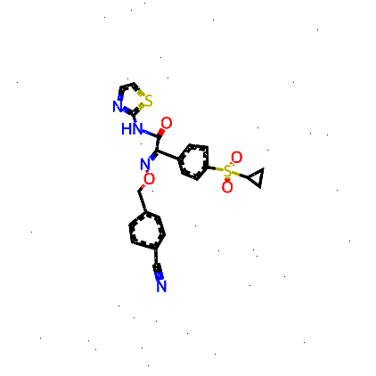 N#Cc1ccc(CO/N=C(/C(=O)Nc2nccs2)c2ccc(S(=O)(=O)C3CC3)cc2)cc1